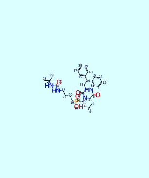 CC(C)C[C@@H](C(=O)Nc1ccccc1)N(CP(=O)(O)CCCCNC(=O)NC(C)C)C(=O)CCCc1ccccc1